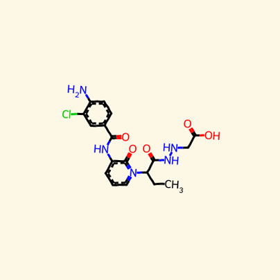 CCC(C(=O)NNCC(=O)O)n1cccc(NC(=O)c2ccc(N)c(Cl)c2)c1=O